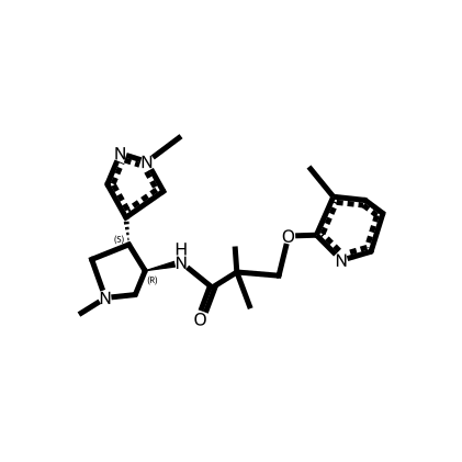 Cc1cccnc1OCC(C)(C)C(=O)N[C@H]1CN(C)C[C@@H]1c1cnn(C)c1